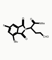 CNC(=O)C(CCC=O)N1C(=O)c2cc(F)cc(C(C)(C)C)c2C1=O